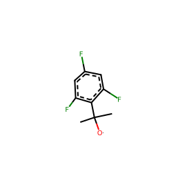 CC(C)([O])c1c(F)cc(F)cc1F